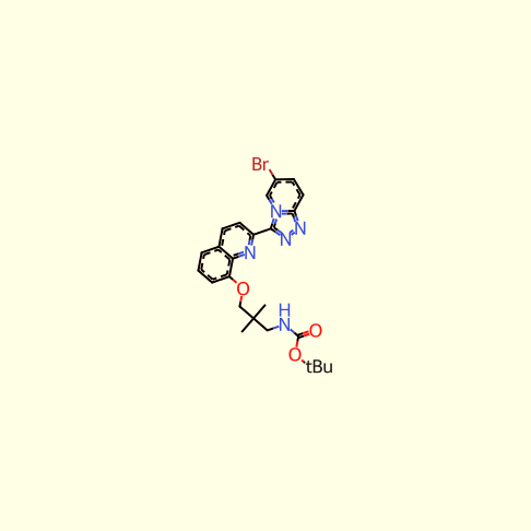 CC(C)(CNC(=O)OC(C)(C)C)COc1cccc2ccc(-c3nnc4ccc(Br)cn34)nc12